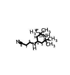 CC1(C)CC(NCCC#N)CC(C)(C)N1